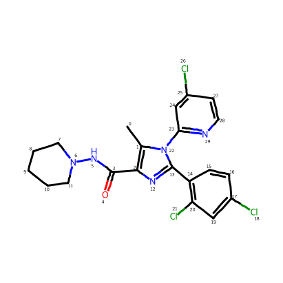 Cc1c(C(=O)NN2CCCCC2)nc(-c2ccc(Cl)cc2Cl)n1-c1cc(Cl)ccn1